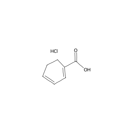 Cl.O=C(O)C1=CC=CCC1